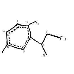 [CH2]C(CF)c1cc(CC)ccc1C